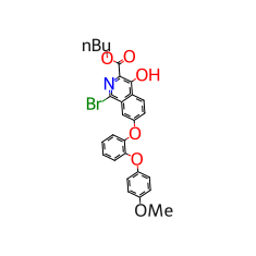 CCCCOC(=O)c1nc(Br)c2cc(Oc3ccccc3Oc3ccc(OC)cc3)ccc2c1O